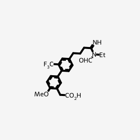 CCN(C=O)C(=N)CCCc1ccc(-c2ccc(OC)c(CC(=O)O)c2)c(C(F)(F)F)c1